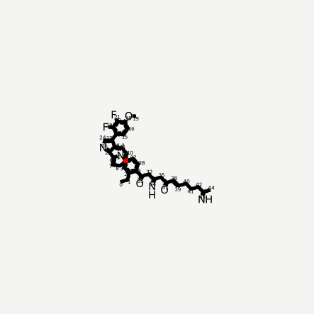 CCc1cc(N/C2=C\C/C=C\C=C3\C(c4ccc(OC)c(F)c4F)=CN=C23)ccc1C(=O)CC(=N)CC(=O)/C=C/CCCC(C)=N